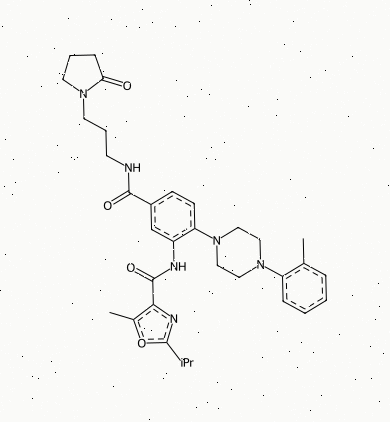 Cc1ccccc1N1CCN(c2ccc(C(=O)NCCCN3CCCC3=O)cc2NC(=O)c2nc(C(C)C)oc2C)CC1